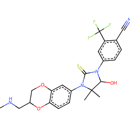 CNCC1COc2cc(N3C(=S)N(c4ccc(C#N)c(C(F)(F)F)c4)C(O)C3(C)C)ccc2O1